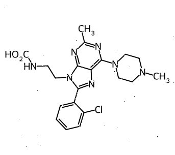 Cc1nc(N2CCN(C)CC2)c2nc(-c3ccccc3Cl)n(CCNC(=O)O)c2n1